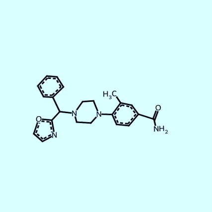 Cc1cc(C(N)=O)ccc1N1CCN(C(c2ccccc2)c2ncco2)CC1